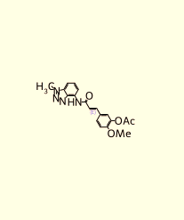 COc1ccc(/C=C/C(=O)Nc2cccc3c2nnn3C)cc1OC(C)=O